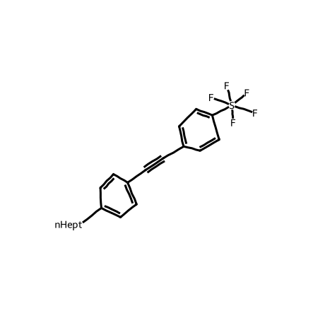 CCCCCCCc1ccc(C#Cc2ccc(S(F)(F)(F)(F)F)cc2)cc1